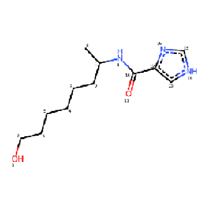 CC(CCCCCCO)NC(=O)c1c[nH]cn1